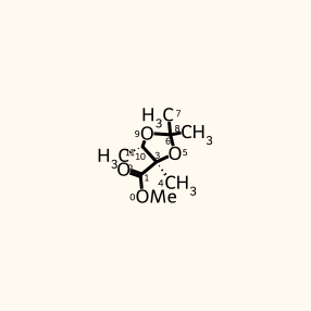 COC(=O)[C@]1(C)OC(C)(C)O[C@H]1C